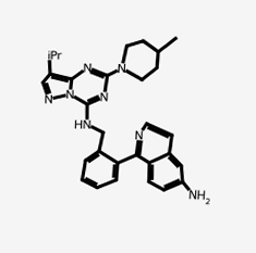 CC1CCN(c2nc(NCc3ccccc3-c3nccc4cc(N)ccc34)n3ncc(C(C)C)c3n2)CC1